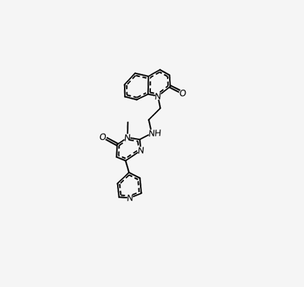 Cn1c(NCCn2c(=O)ccc3ccccc32)nc(-c2ccncc2)cc1=O